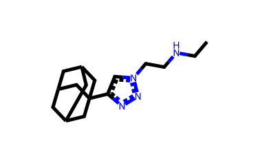 CCNCCn1cc(C23CC4CC(CC(C4)C2)C3)nn1